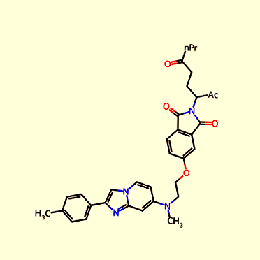 CCCC(=O)CCC(C(C)=O)N1C(=O)c2ccc(OCCN(C)c3ccn4cc(-c5ccc(C)cc5)nc4c3)cc2C1=O